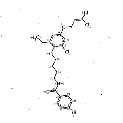 CCc1cc(OCC=C(Cl)Cl)cc(Cl)c1OCCCCNC(=O)c1ccc(Cl)cc1